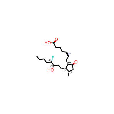 CCCC[C@@H](F)[C@@H](O)CC[C@H]1[C@H](C)CC(=O)[C@@H]1C/C=C\CCCC(=O)O